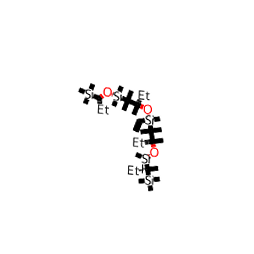 C=C[Si](C)(OC(C)(CC)C(C)(C)[Si](C)(C)OC(CC)[Si](C)(C)C)C(C)(C)C(C)(CC)O[SiH](C)[C@](C)(CC)[Si](C)(C)C